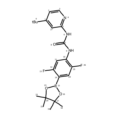 CC(C)(C)c1ccnc(NC(=O)Nc2cc(F)c(B3OC(C)(C)C(C)(C)O3)cc2F)c1